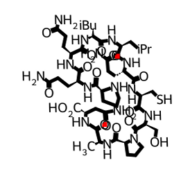 CC[C@H](C)[C@H](NC(=O)[C@H](CCC(N)=O)NC(=O)[C@H](CCC(N)=O)NC(=O)[C@@H]1CCCN1)C(=O)N[C@@H](CC(C)C)C(=O)N[C@@H](CCC(N)=O)C(=O)N[C@@H](CS)C(=O)N[C@@H](CO)C(=O)N1CCC[C@H]1C(=O)N[C@@H](C)C(=O)N[C@@H](CC(N)=O)C(=O)O